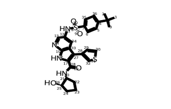 CC(C)(C)c1ccc(S(=O)(=O)Nc2cnc3[nH]c(C(=O)N[C@H]4CCC[C@H]4O)c(-c4ccsc4)c3c2)cc1